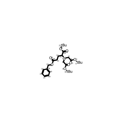 CC(C)(C)OC(=O)CN(CC(=O)OC(C)(C)C)C(CCC(=O)OCc1ccccc1)C(=O)OC(C)(C)C